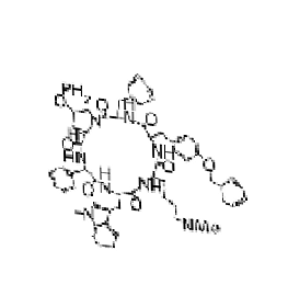 CNCCCC[C@H]1NC(=O)C(Cc2cn(C)c3ccccc23)NC(=O)[C@@H](c2ccccc2)NC(=O)[C@@H]2CC(OP)CN2C(=O)[C@@H](Cc2ccccc2)NC(=O)[C@@H](Cc2ccc(OCc3ccccc3)cc2)NC1=O